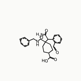 NC(=O)C(c1ccccc1C=O)C1(C(=O)NCc2ccccc2)CCC(C(=O)O)CC1